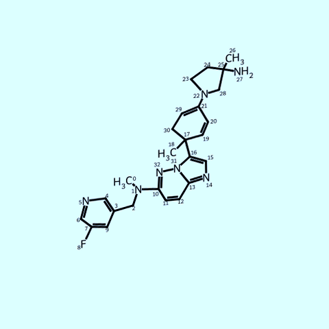 CN(Cc1cncc(F)c1)c1ccc2ncc(C3(C)C=CC(N4CCC(C)(N)C4)=CC3)n2n1